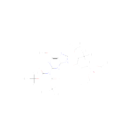 CCOP(=O)(CCC(On1cnc2c(OC)nc(N(C(=O)OC(C)(C)C)C(=O)OC(C)(C)C)nc21)C(O[SiH](C)C)C(C)(C)C)OCC